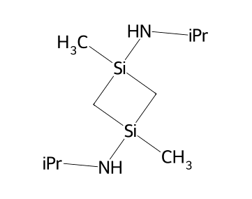 CC(C)N[Si]1(C)C[Si](C)(NC(C)C)C1